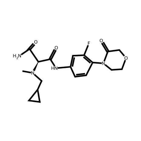 CN(CC1CC1)[C@@H](C(N)=O)C(=O)Nc1ccc(N2CCOCC2=O)c(F)c1